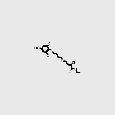 CCOC(=O)C(Cl)=CCOCCCCOc1c(Cl)cc(O)cc1Cl